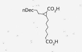 CCCCCCCCCCCCC1C(CCCCCCC(=O)O)C1C(=O)O